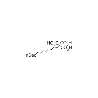 CCCCCCCCCCCCCCCCCCC(C(=O)O)(C(=O)O)C(=O)O